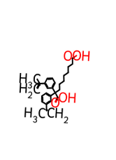 C=C(C)c1cccc(C(CCCCCCCC(=O)O)(C(=O)O)c2cccc(C(=C)C)c2)c1